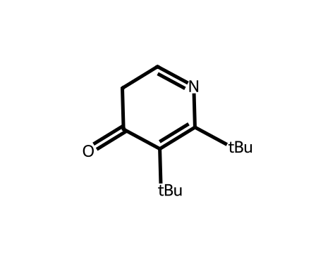 CC(C)(C)C1=C(C(C)(C)C)C(=O)CC=N1